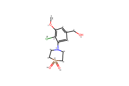 CCOc1cc(CO)cc(N2CCS(=O)(=O)CC2)c1Cl